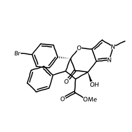 COC(=O)C1C(c2ccccc2)[C@@]2(c3ccc(Br)cc3)Oc3cn(C)nc3[C@@]1(O)C2=O